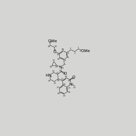 COCCCc1cc(CN(C(=O)C2CNCCC2c2cc(=O)n(C)c3ccccc23)C2CC2)cc(OCCOC)c1